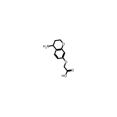 NC1CCOc2cc(OCC(=O)O)ccc21